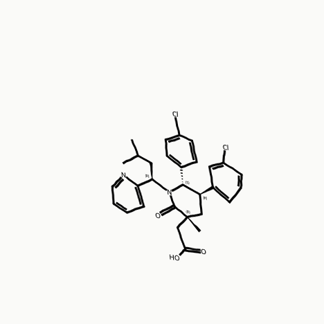 CC(C)C[C@H](c1ccccn1)N1C(=O)[C@@](C)(CC(=O)O)C[C@H](c2cccc(Cl)c2)[C@H]1c1ccc(Cl)cc1